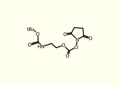 CC(C)(C)OC(=O)NCCOC(=O)ON1C(=O)CCC1=O